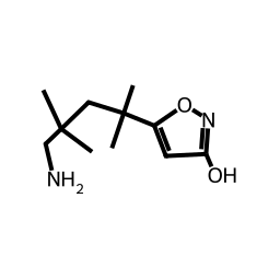 CC(C)(CN)CC(C)(C)c1cc(O)no1